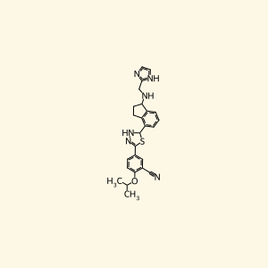 CC(C)Oc1ccc(C2=NNC(c3cccc4c3CCC4NCc3ncc[nH]3)S2)cc1C#N